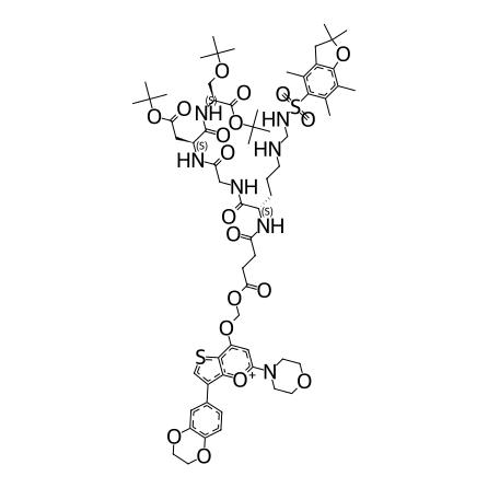 Cc1c(C)c(S(=O)(=O)NCNCCC[C@H](NC(=O)CCC(=O)OCOc2cc(N3CCOCC3)[o+]c3c(-c4ccc5c(c4)OCCO5)csc23)C(=O)NCC(=O)N[C@@H](CC(=O)OC(C)(C)C)C(=O)N[C@@H](COC(C)(C)C)C(=O)OC(C)(C)C)c(C)c2c1OC(C)(C)C2